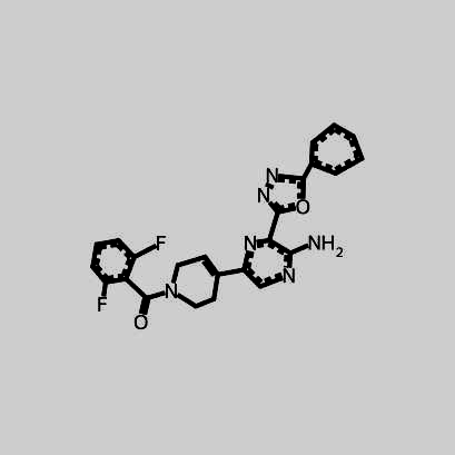 Nc1ncc(C2=CCN(C(=O)c3c(F)cccc3F)CC2)nc1-c1nnc(-c2ccccc2)o1